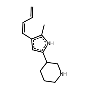 C=C/C=C\c1cc(C2CCCNC2)[nH]c1C